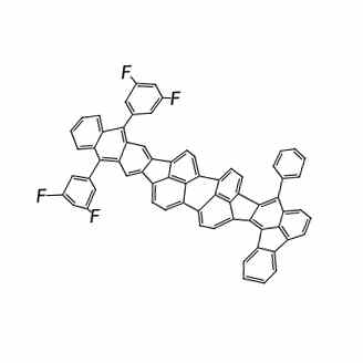 Fc1cc(F)cc(-c2c3ccccc3c(-c3cc(F)cc(F)c3)c3cc4c(cc23)-c2ccc3c5ccc6c7c(-c8ccccc8)c8cccc9c%10ccccc%10c(c89)c7c7ccc(c8ccc-4c2c38)c5c67)c1